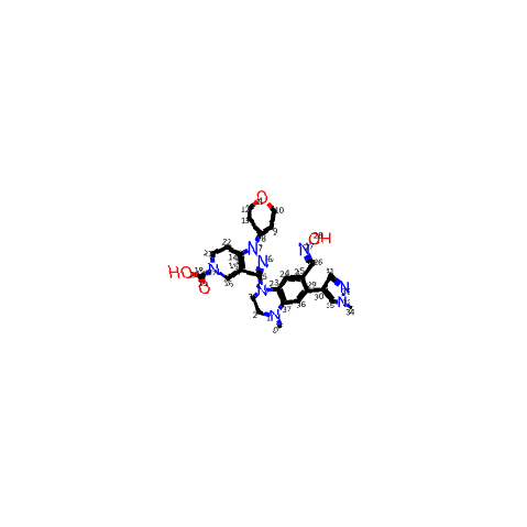 CN1CCN(c2nn(C3CCOCC3)c3c2CN(C(=O)O)CC3)c2cc(C=NO)c(-c3cnn(C)c3)cc21